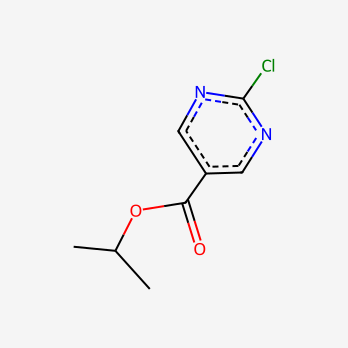 CC(C)OC(=O)c1cnc(Cl)nc1